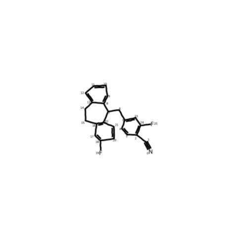 N#Cc1ccc(CC2c3ccccc3CCc3cc(F)ccc32)cc1F